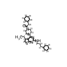 CCc1csc2nc(NCCCc3ccccc3)nc(N3CCN(C(=O)Cc4ccccc4)CC3)c12